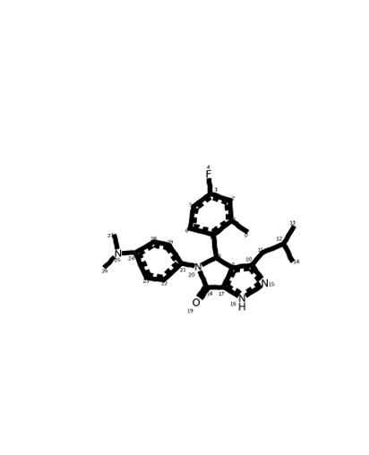 Cc1cc(F)ccc1C1c2c(CC(C)C)n[nH]c2C(=O)N1c1ccc(N(C)C)cc1